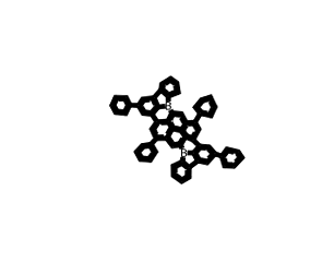 c1ccc(-c2cc3c4c(c2)-c2cc(-c5ccccc5)c5cc6c7c(cc(-c8ccccc8)c8cc(c2c5c87)B4c2ccccc2-3)-c2cc(-c3ccccc3)cc3c2B6c2ccccc2-3)cc1